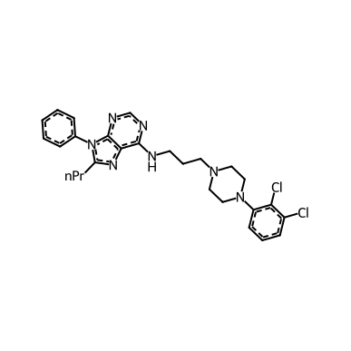 CCCc1nc2c(NCCCN3CCN(c4cccc(Cl)c4Cl)CC3)ncnc2n1-c1ccccc1